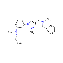 CNCCN(C)c1cccc(N2C=C(CN(C)Cc3ccccc3)CN2C)c1